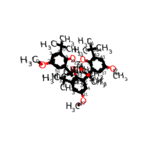 COc1cc(C(C)(C)C)c([O][Zr]([CH3])([O]c2c(C(C)(C)C)cc(OC)cc2C(C)(C)C)[O]c2c(C(C)(C)C)cc(OC)cc2C(C)(C)C)c(C(C)(C)C)c1